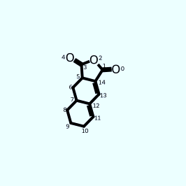 O=C1OC(=O)C2CC3CCCC=C3C=C12